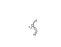 FC(F)(F)c1ccc(C#CCOI)cc1N1CCC(OC2CC(OI)C2)CC1